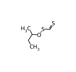 CCC(C)OSC=S